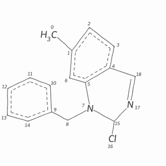 Cc1ccc2c(c1)N(Cc1ccccc1)C(Cl)N=C2